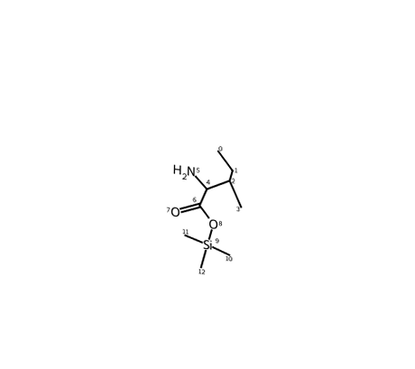 CCC(C)C(N)C(=O)O[Si](C)(C)C